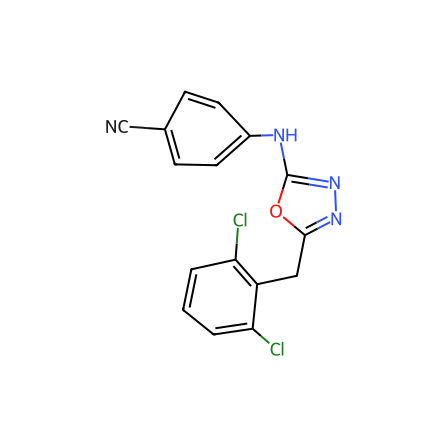 N#Cc1ccc(Nc2nnc(Cc3c(Cl)cccc3Cl)o2)cc1